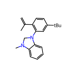 C=C(C)c1ccc(C(C)(C)C)cc1N1CN(C)c2ccccc21